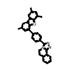 Cc1cc(C)c2oc3c(-c4ccc(-c5nnc6c7ccccc7ccn56)cc4)cc(C)cc3c2c1